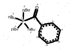 CCCCP(CCCC)(CCCC)(CCCC)C(=O)c1ccccc1